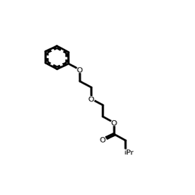 CC(C)CC(=O)OCCOCCOc1ccccc1